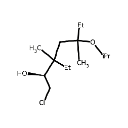 CCC(C)(CC(C)(CC)[C@H](O)CCl)OC(C)C